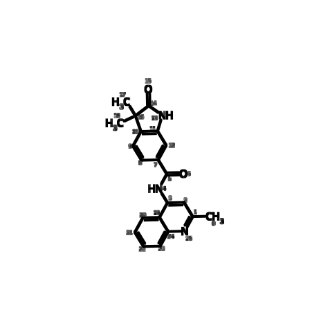 Cc1cc(NC(=O)c2ccc3c(c2)NC(=O)C3(C)C)c2ccccc2n1